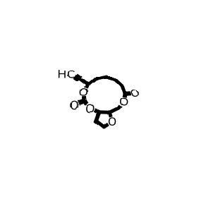 C#CC1CCCCC(=O)OCC2OCCC2OC(=O)O1